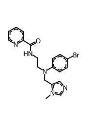 Cn1cncc1CN(CCNC(=O)c1ccccn1)c1ccc(Br)cc1